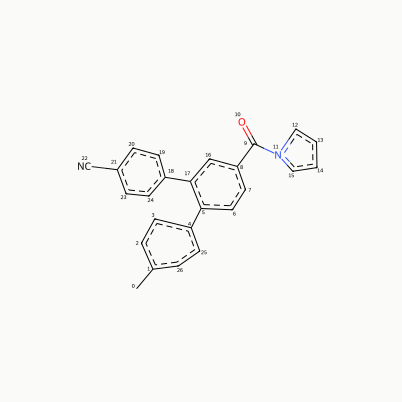 Cc1ccc(-c2ccc(C(=O)n3cccc3)cc2-c2ccc(C#N)cc2)cc1